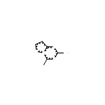 CSc1nc(C)n2nccc2n1